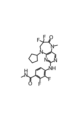 CNC(=O)c1ccc(Nc2ncc3c(n2)N(C2CCCC2)CC(F)(F)C(=O)N3C)c(F)c1F